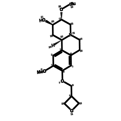 COc1cc2c(cc1OCC1COC1)CCN1C[C@@H](OC(C)(C)C)[C@H](O)C[C@H]21